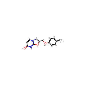 O=c1ccn2c(n1)OC(COc1ccc(C(F)(F)F)cc1)C2